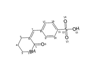 O=C1BCCCC1=Cc1ccc(S(=O)(=O)O)cc1